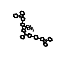 CC1(C)c2cc(-c3ccc4c5ccccc5n(-c5ccccc5)c4c3)ccc2-c2ccc(N(c3ccccc3)c3ccc(-c4ccc(-c5ccc6c(c5)c5ccccc5n6-c5ccccc5)cc4)cc3)cc21